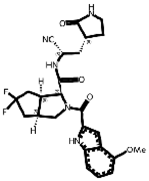 COc1cccc2[nH]c(C(=O)N3C[C@H]4CC(F)(F)C[C@H]4[C@H]3C(=O)N[C@H](C#N)C[C@H]3CCNC3=O)cc12